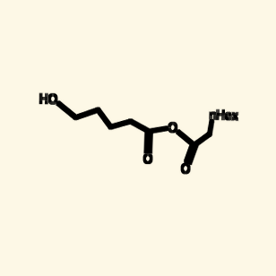 CCCCCCCC(=O)OC(=O)CCCCO